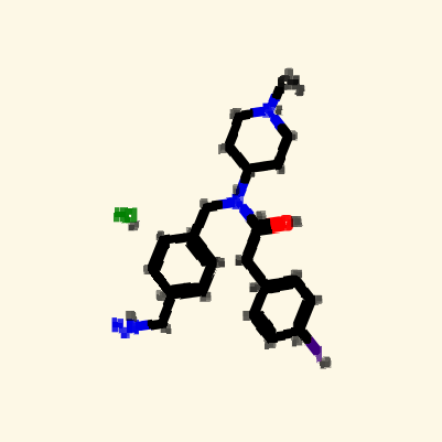 CN1CCC(N(Cc2ccc(CN)cc2)C(=O)Cc2ccc(I)cc2)CC1.Cl